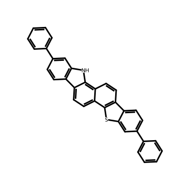 c1ccc(-c2ccc3c(c2)[nH]c2c3ccc3c2ccc2c4ccc(-c5ccccc5)cc4sc23)cc1